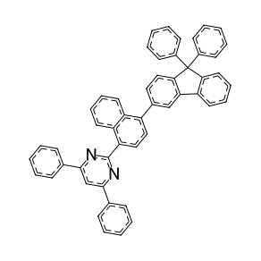 c1ccc(-c2cc(-c3ccccc3)nc(-c3ccc(-c4ccc5c(c4)-c4ccccc4C5(c4ccccc4)c4ccccc4)c4ccccc34)n2)cc1